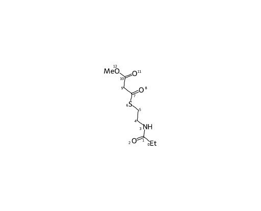 CCC(=O)NCCSC(=O)CC(=O)OC